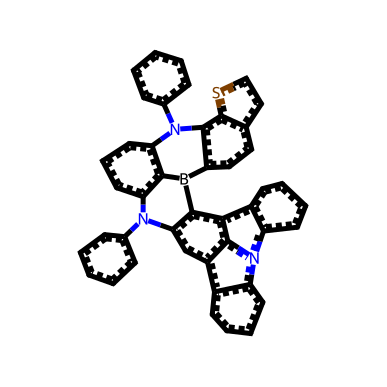 c1ccc(N2c3cccc4c3B(c3ccc5ccsc5c3N4c3ccccc3)c3c2cc2c4ccccc4n4c5ccccc5c3c24)cc1